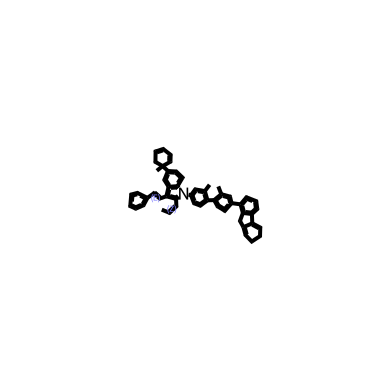 C/C=C\c1c(/C=C/c2ccccc2)c2cc(C3(C)C=CC=CC3)ccc2n1-c1ccc(-c2ccc(-c3cccc4c3CC3=CCCC=C34)cc2C)c(C)c1